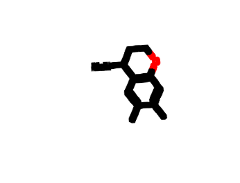 CNC1CCOc2cc(C)c(C)cc21